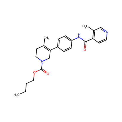 CCCCOC(=O)N1CCC(C)=C(c2ccc(NC(=O)c3ccncc3C)cc2)C1